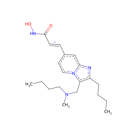 CCCCc1nc2cc(/C=C/C(=O)NO)ccn2c1CN(C)CCCC